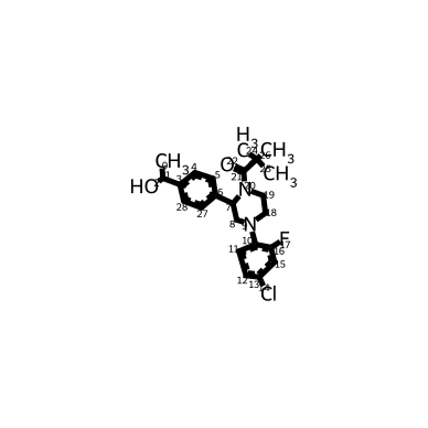 CC(O)c1ccc(C2CN(c3ccc(Cl)cc3F)CCN2C(=O)C(C)(C)C)cc1